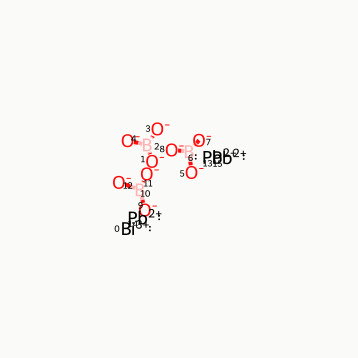 [Bi+3].[O-]B([O-])[O-].[O-]B([O-])[O-].[O-]B([O-])[O-].[Pb+2].[Pb+2].[Pb+2]